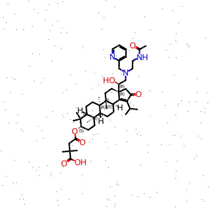 CC(=O)NCCN(Cc1ccccn1)C[C@H](O)[C@@]12CC[C@]3(C)[C@H](CC[C@@H]4[C@@]5(C)CC[C@H](OC(=O)CC(C)(C)C(=O)O)C(C)(C)[C@@H]5CC[C@]43C)C1=C(C(C)C)C(=O)C2